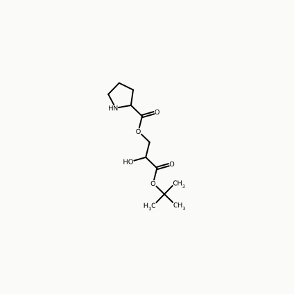 CC(C)(C)OC(=O)C(O)COC(=O)C1CCCN1